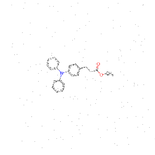 COC(=O)CCc1ccc(N(c2ccccc2)c2ccccc2)cc1